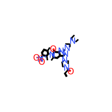 C=CC(=O)N1CCN(c2nc(N3CC(N(CC)CC)C3)nc3c(=O)n(-c4c(C)ccc([N+](=O)[O-])c4C)c(C)cc23)CC1